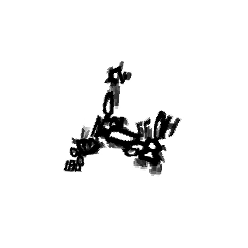 CN1CCC[C@H]1COc1nc(N2CC3CCCC2CN3C(=O)OC(C)(C)C)c2cc(Cl)c(-c3c(F)c(O)cc4ccccc34)c(F)c2n1